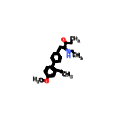 CCNC(Cc1ccc(-c2ccc(OC)cc2CC)cc1)C(=O)CC